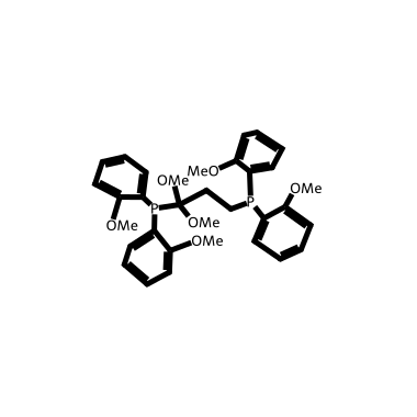 COc1ccccc1P(CCC(OC)(OC)P(c1ccccc1OC)c1ccccc1OC)c1ccccc1OC